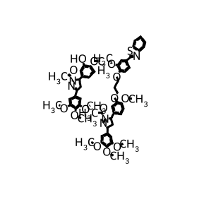 COc1cc(-c2nc3ccccc3s2)ccc1OCCCOc1cc(C2CC(c3cc(OC)c(OC)c(OC)c3)=NN2C(C)=O)ccc1OC.COc1ccc(C2CC(c3cc(OC)c(OC)c(OC)c3)=NN2C(C)=O)cc1O